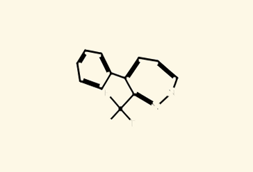 FC(F)(F)C1=NNC=CC=C1c1ccccc1